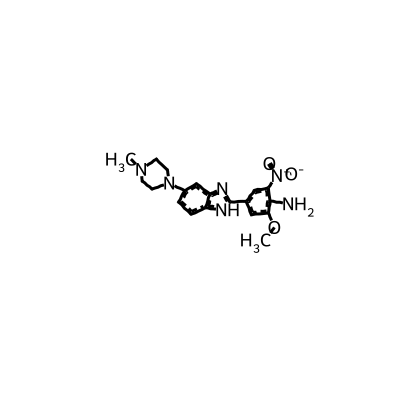 COc1cc(-c2nc3cc(N4CCN(C)CC4)ccc3[nH]2)cc([N+](=O)[O-])c1N